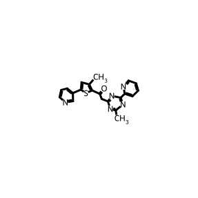 Cc1nc(CC(=O)c2sc(-c3cccnc3)cc2C)nc(-c2ccccn2)n1